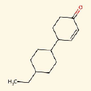 CCC1CCC(C2C=CC(=O)CC2)CC1